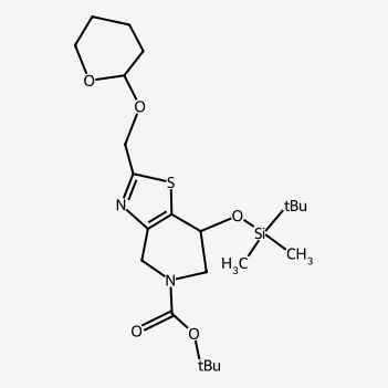 CC(C)(C)OC(=O)N1Cc2nc(COC3CCCCO3)sc2C(O[Si](C)(C)C(C)(C)C)C1